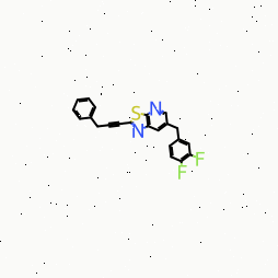 Fc1ccc(Cc2cnc3sc(C#CCc4ccccc4)nc3c2)cc1F